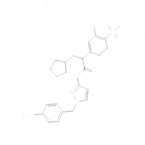 CS(=O)(=O)c1ccc(C(CC2CCCC2)C(=O)Nc2ccn(Cc3ccc(C(=O)O)cc3)n2)cc1Cl